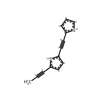 CC#Cc1ccc(C#Cc2cccs2)s1